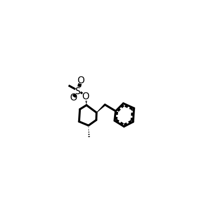 C[C@@H]1CC[C@H](OS(C)(=O)=O)[C@@H](Cc2ccccc2)C1